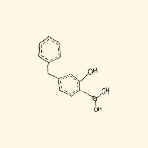 OB(O)c1ccc(Cc2ccccc2)cc1O